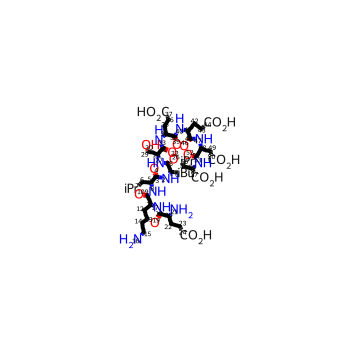 CCC(C)C(NC(=O)C(CC(C)C)NC(=O)C(CCCCN)NC(=O)C(N)CCC(=O)O)C(=O)NC(CO)C(=O)NC(CCC(=O)O)C(=O)NC(CCC(=O)O)C(=O)NC(CC(=O)O)C(=O)NC(CC(C)C)C(=O)O